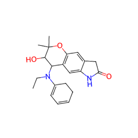 CCN(C1=CC=CCC1)C1c2cc3c(cc2OC(C)(C)C1O)CC(=O)N3